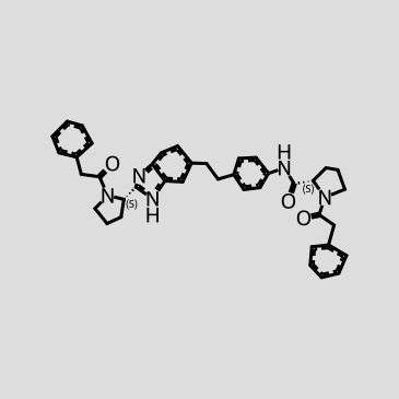 O=C(Nc1ccc(CCc2ccc3nc([C@@H]4CCCN4C(=O)Cc4ccccc4)[nH]c3c2)cc1)[C@@H]1CCCN1C(=O)Cc1ccccc1